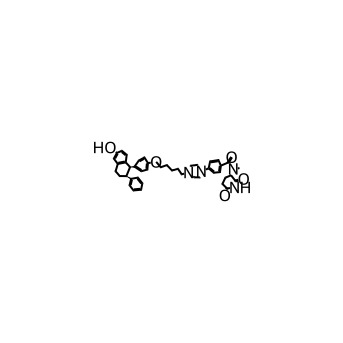 CN(C(=O)c1ccc(N2CCN(CCCCCOc3ccc([C@@H]4c5ccc(O)cc5CC[C@@H]4c4ccccc4)cc3)CC2)cc1)C1CCC(=O)NC1=O